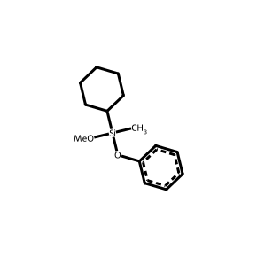 CO[Si](C)(Oc1ccccc1)C1CCCCC1